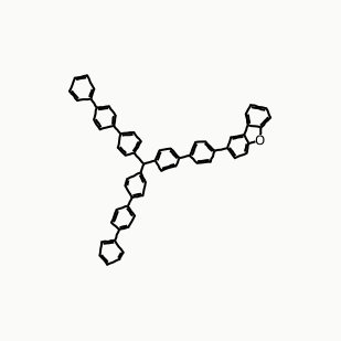 c1ccc(-c2ccc(-c3ccc(C(c4ccc(-c5ccc(-c6ccccc6)cc5)cc4)c4ccc(-c5ccc(-c6ccc7oc8ccccc8c7c6)cc5)cc4)cc3)cc2)cc1